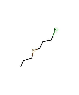 CCCSCCCBr